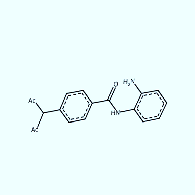 CC(=O)C(C(C)=O)c1ccc(C(=O)Nc2ccccc2N)cc1